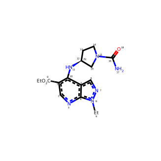 CCOC(=O)c1cnc2c(cnn2CC)c1N[C@H]1CCN(C(N)=O)C1